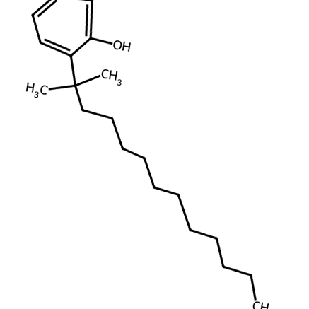 CCCCCCCCCCCC(C)(C)c1ccccc1O